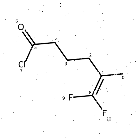 CC(CCCC(=O)Cl)=C(F)F